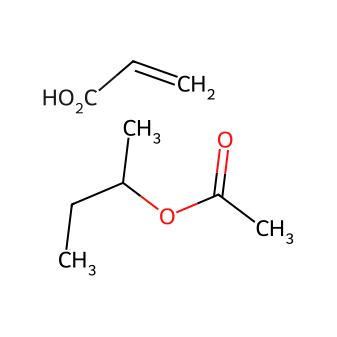 C=CC(=O)O.CCC(C)OC(C)=O